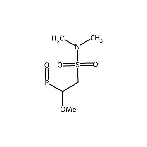 COC(CS(=O)(=O)N(C)C)P=O